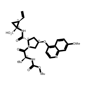 C=C[C@@H]1C[C@]1(NC(=O)[C@@H]1C[C@@H](Oc2ccnc3cc(OC)ccc23)CN1C(=O)[C@@H](NC(=O)OC(C)(C)C)C(C)(C)C)C(=O)O